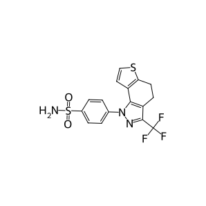 NS(=O)(=O)c1ccc(-n2nc(C(F)(F)F)c3c2-c2ccsc2CC3)cc1